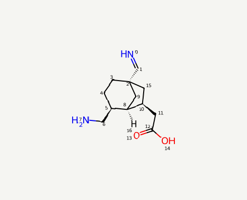 N=C[C@@]12CC[C@H](CN)[C@@H](C1)[C@H](CC(=O)O)C2